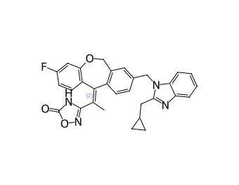 C/C(=C1\c2ccc(Cn3c(CC4CC4)nc4ccccc43)cc2COc2cc(F)ccc21)c1noc(=O)[nH]1